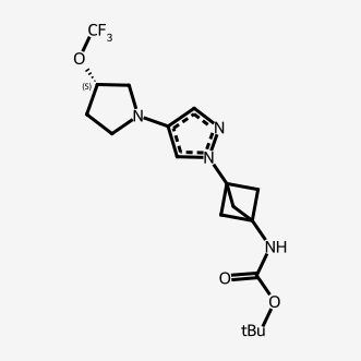 CC(C)(C)OC(=O)NC12CC(n3cc(N4CC[C@H](OC(F)(F)F)C4)cn3)(C1)C2